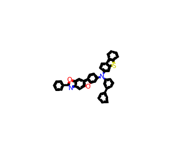 c1ccc(-c2cccc(N(c3ccc4c(c3)oc3cc5nc(-c6ccccc6)oc5cc34)c3ccc4c(c3)sc3ccccc34)c2)cc1